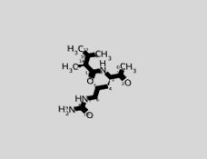 CC(=O)[C@H](CCCNC(N)=O)NC(=O)[C@@H](C)C(C)C